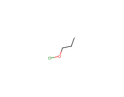 [CH2]CCOCl